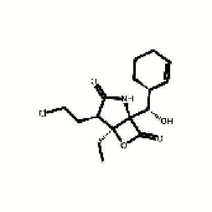 CC[C@@]12OC(=O)[C@]1([C@@H](O)[C@@H]1C=CCCC1)NC(=O)[C@@H]2CCCl